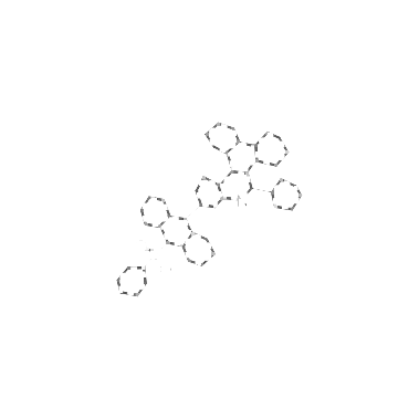 O=S(=O)(c1ccccc1)c1c2ccccc2c(-c2ccc3c(c2)nc(-c2ccccc2)c2c4ccccc4c4ccccc4c32)c2ccccc12